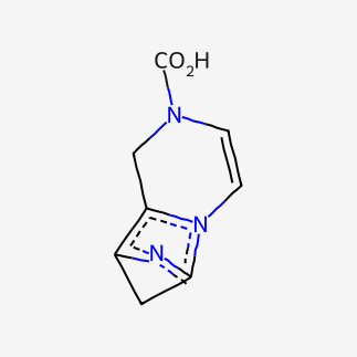 O=C(O)N1C=Cn2c3nc(c2C1)C3